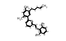 C=CCCCc1cc(-c2cccc(/C=N/c3c(C(C)C)cccc3C(C)C)n2)c(C)cc1C